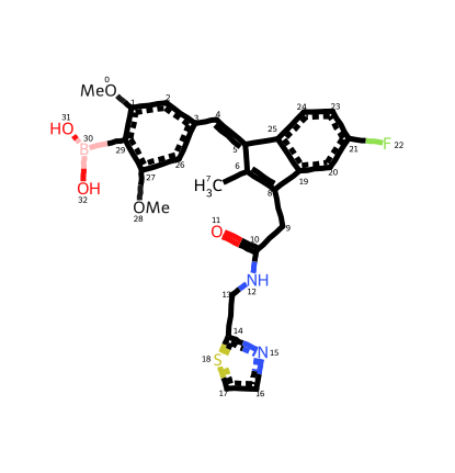 COc1cc(C=C2C(C)=C(CC(=O)NCc3nccs3)c3cc(F)ccc32)cc(OC)c1B(O)O